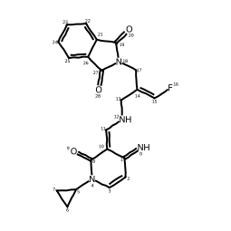 N=C1C=CN(C2CC2)C(=O)/C1=C/NC/C(=C/F)CN1C(=O)c2ccccc2C1=O